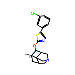 Clc1cccc(-c2cnc(OC3C4CC5C[C@H]3CN(C5)C4)s2)c1